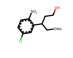 COCC(CCO)c1cc(Cl)ccc1[N+](=O)[O-]